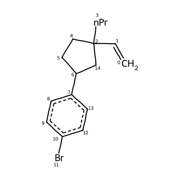 C=CC1(CCC)CCC(c2ccc(Br)cc2)C1